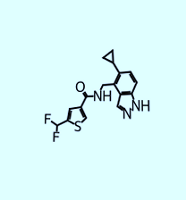 O=C(NCc1c(C2CC2)ccc2[nH]ncc12)c1csc(C(F)F)c1